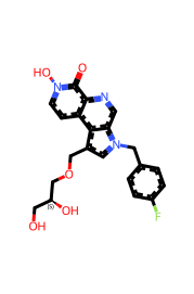 O=c1c2ncc3c(c(COC[C@@H](O)CO)cn3Cc3ccc(F)cc3)c2ccn1O